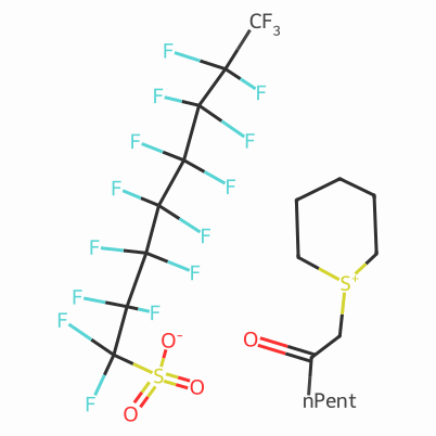 CCCCCC(=O)C[S+]1CCCCC1.O=S(=O)([O-])C(F)(F)C(F)(F)C(F)(F)C(F)(F)C(F)(F)C(F)(F)C(F)(F)C(F)(F)F